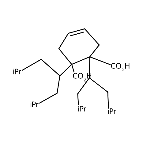 CC(C)CC(CC(C)C)C1(C(=O)O)CC=CCC1(C(=O)O)C(CC(C)C)CC(C)C